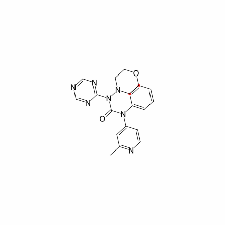 Cc1cc(N(C(=O)N(c2ncncn2)N2CCOCC2)c2ccccc2)ccn1